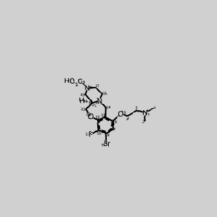 CN(C)CCOc1cc(Br)c(F)c2c1CN1CCN(C(=O)O)C[C@@H]1CO2